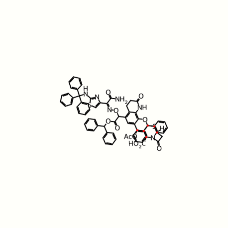 CC(=O)OC(C1=C(C(=O)O)N2C(=O)C[C@H]2SC1)c1cc(C(O/N=C(\C(N)=O)c2csc(NC(c3ccccc3)(c3ccccc3)c3ccccc3)n2)C(=O)OC(c2ccccc2)c2ccccc2)c2c(c1OC(c1ccccc1)c1ccccc1)NC(=O)CC2